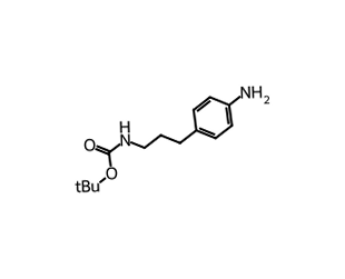 CC(C)(C)OC(=O)NCCCc1ccc(N)cc1